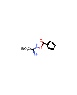 CCOC(=O)C(=N)NOC(=O)c1ccccc1